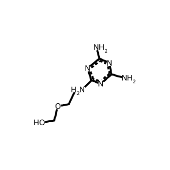 CCOCO.Nc1nc(N)nc(N)n1